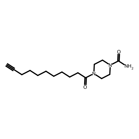 C#CCCCCCCCCC(=O)N1CCN(C(N)=O)CC1